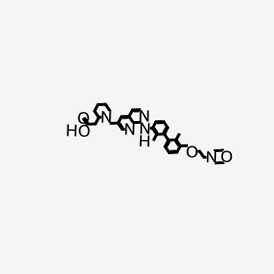 Cc1c(COCCN2CCOCC2)cccc1-c1cccc(Nc2nccc3cc(CN4CCCCC4CC(=O)O)cnc23)c1C